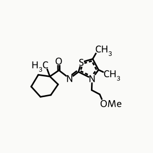 COCCn1c(C)c(C)s/c1=N\C(=O)C1(C)CCCCC1